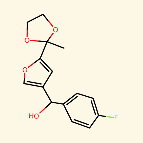 CC1(c2cc(C(O)c3ccc(F)cc3)co2)OCCO1